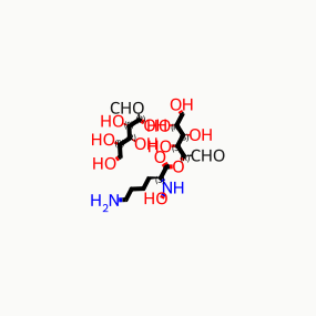 NCCCC[C@H](NO)C(=O)O[C@@H](C=O)[C@@H](O)[C@@H](O)[C@H](O)CO.O=C[C@H](O)[C@@H](O)[C@H](O)[C@H](O)CO